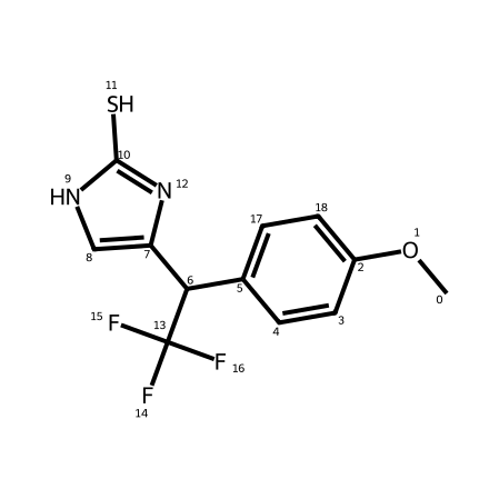 COc1ccc(C(c2c[nH]c(S)n2)C(F)(F)F)cc1